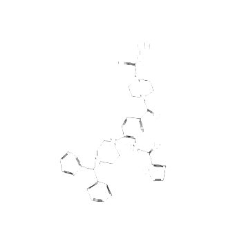 COC(=O)N1CCN(C(=O)c2ccc(N3CCN(C(c4ccccc4)c4ccccc4)CC3)c(NC(=O)c3ccco3)c2)CC1